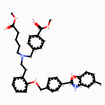 COC(=O)CCCCN(CCc1ccccc1OCc1ccc(-c2nc3cc(C)ccc3o2)cc1)Cc1ccc(C(=O)OC)cc1